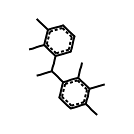 Cc1cccc(C(C)c2ccc(C)c(C)c2C)c1C